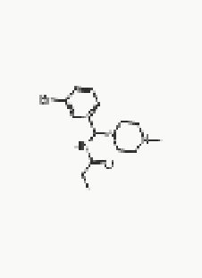 CCC(=O)NC(c1cccc(Br)c1)N1CCN(C)CC1